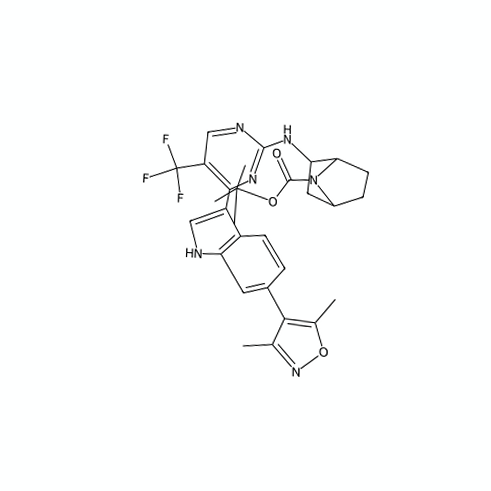 Cc1noc(C)c1-c1ccc2c(-c3nc(NC4CC5CCC4N5C(=O)OC(C)(C)C)ncc3C(F)(F)F)c[nH]c2c1